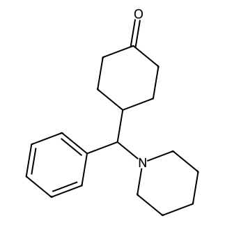 O=C1CCC(C(c2ccccc2)N2CCCCC2)CC1